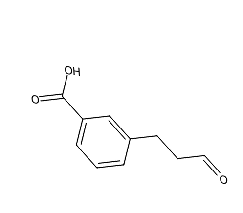 O=CCCc1cccc(C(=O)O)c1